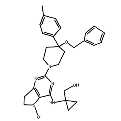 Cc1ccc(C2(OCc3ccccc3)CCN(c3nc4c(c(NC5(CO)CC5)n3)[S+]([O-])CC4)CC2)cc1